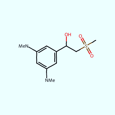 CNc1cc(NC)cc(C(O)CS(C)(=O)=O)c1